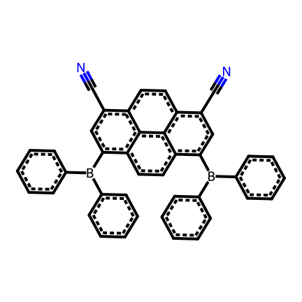 N#Cc1cc(B(c2ccccc2)c2ccccc2)c2ccc3c(B(c4ccccc4)c4ccccc4)cc(C#N)c4ccc1c2c43